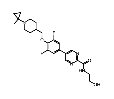 CC1(N2CCC(COc3c(F)cc(-c4cnc(C(=O)NCCO)nc4)cc3F)CC2)CC1